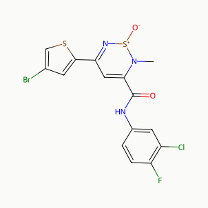 CN1C(C(=O)Nc2ccc(F)c(Cl)c2)=CC(c2cc(Br)cs2)=N[S+]1[O-]